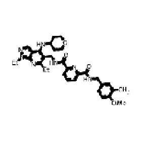 CCc1nc2c(cnn2CC)c(NC2CCOCC2)c1CNC(=O)c1cccc(C(=O)NCc2ccc(OC)c(C)c2)n1